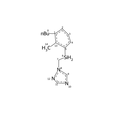 CCCCc1cccc([SiH2]Cn2cncn2)c1C